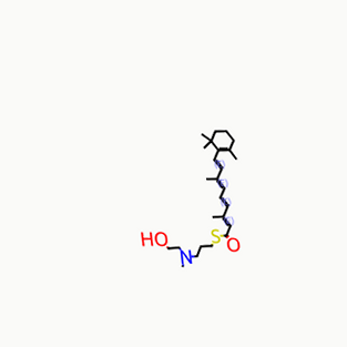 CC1=C(/C=C/C(C)=C/C=C/C(C)=C/C(=O)SCCCN(C)CCO)C(C)(C)CCC1